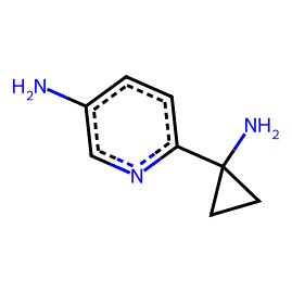 Nc1ccc(C2(N)CC2)nc1